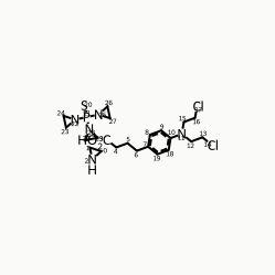 C1CN1.O=C(O)CCCc1ccc(N(CCCl)CCCl)cc1.S=P(N1CC1)(N1CC1)N1CC1